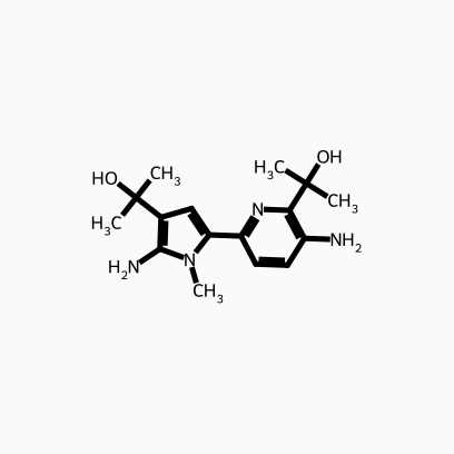 Cn1c(-c2ccc(N)c(C(C)(C)O)n2)cc(C(C)(C)O)c1N